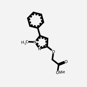 COC(=O)COc1cc(-c2ccccc2)n(C)n1